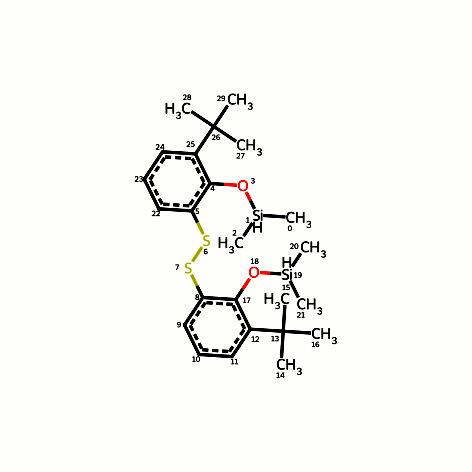 C[SiH](C)Oc1c(SSc2cccc(C(C)(C)C)c2O[SiH](C)C)cccc1C(C)(C)C